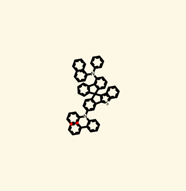 c1ccc(-c2ccccc2N(c2ccccc2)c2ccc3c(c2)-c2sc4ccccc4c2C32c3ccccc3-c3c(N(c4ccccc4)c4cccc5ccccc45)cccc32)cc1